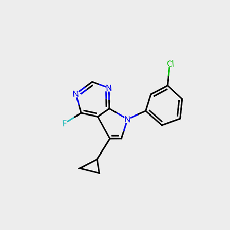 Fc1ncnc2c1c(C1CC1)cn2-c1cccc(Cl)c1